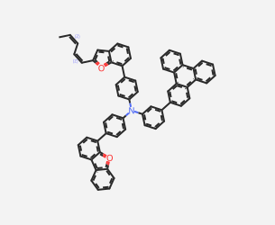 C/C=C\C=C/c1cc2cccc(-c3ccc(N(c4ccc(-c5cccc6c5oc5ccccc56)cc4)c4cccc(-c5ccc6c7ccccc7c7ccccc7c6c5)c4)cc3)c2o1